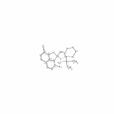 CC(C)(C)[N+]1(CC2(O)Cn3c(=O)ccc4ccc(F)c2c43)CC[CH]CC1